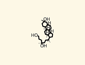 C[C@H](CC[C@@](C)(O)CCCO)C1CC[C@H]2[C@@H]3CC[C@H]4C[C@@](C)(O)CC[C@]4(C)[C@H]3CC[C@]12C